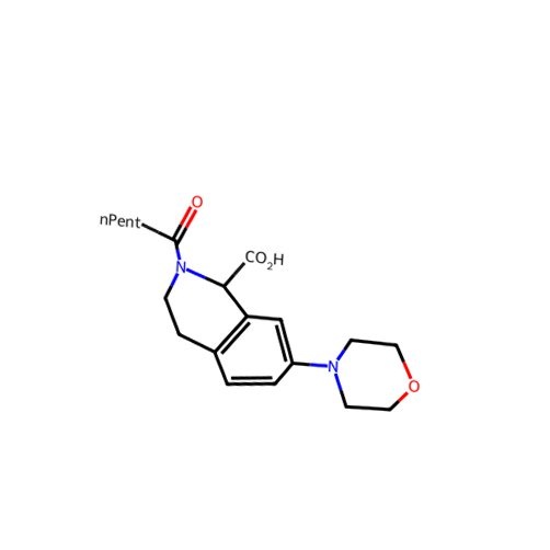 CCCCCC(=O)N1CCc2ccc(N3CCOCC3)cc2C1C(=O)O